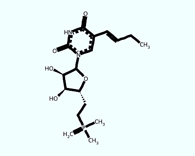 C=P(C)(C)CC[C@H]1OC(n2cc(/C=C/CC)c(=O)[nH]c2=O)[C@H](O)[C@@H]1O